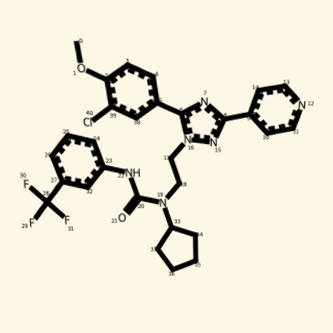 COc1ccc(-c2nc(-c3ccncc3)nn2CCN(C(=O)Nc2cccc(C(F)(F)F)c2)C2CCCC2)cc1Cl